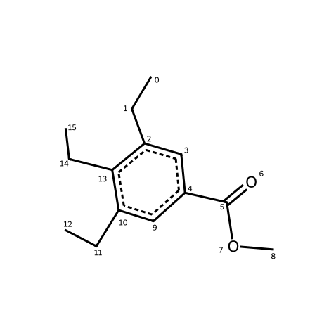 CCc1cc(C(=O)OC)cc(CC)c1CC